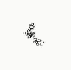 C=C(C)C(=O)OCCOC(=O)C(C)(OC(=O)C1CCC(=O)CC1)C(F)(F)F